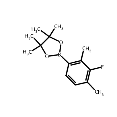 Cc1ccc(B2OC(C)(C)C(C)(C)O2)c(C)c1F